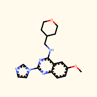 COc1ccc2nc(-n3ccnc3)nc(NCC3CCOCC3)c2c1